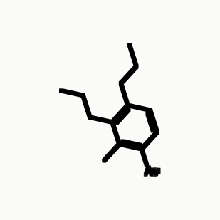 CCCc1ccc([As])c(C)c1CCC